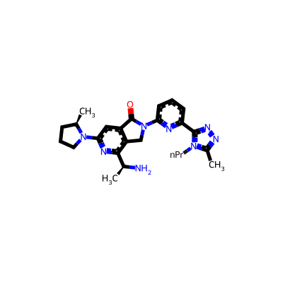 CCCn1c(C)nnc1-c1cccc(N2Cc3c(cc(N4CCC[C@H]4C)nc3[C@H](C)N)C2=O)n1